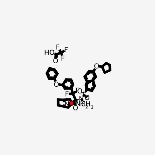 CN([C@H](C(=O)N1C2CCC1CC(N)C2)C(F)(F)c1cccc(Oc2ccccc2)c1)S(=O)(=O)c1ccc2cc(OC3CCCC3)ccc2c1.O=C(O)C(F)(F)F